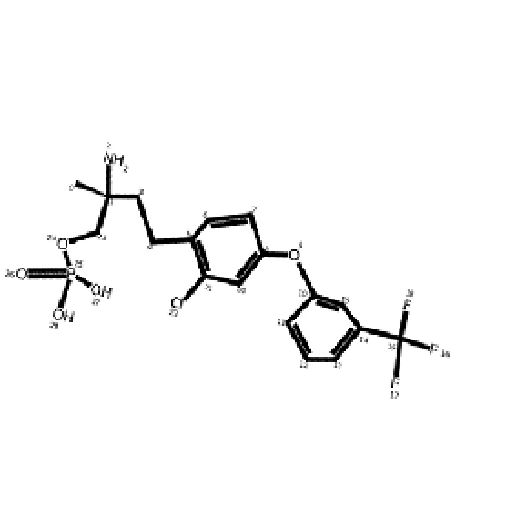 C[C@@](N)(CCc1ccc(Oc2cccc(C(F)(F)F)c2)cc1Cl)COP(=O)(O)O